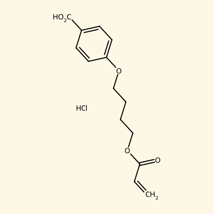 C=CC(=O)OCCCCOc1ccc(C(=O)O)cc1.Cl